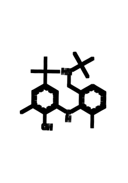 Cc1cc(C(C)(C)C)cc(Pc2c(C)cccc2CNC(C)(C)C)c1O